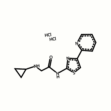 Cl.Cl.O=C(CNC1CC1)Nc1nc(-c2ccccn2)cs1